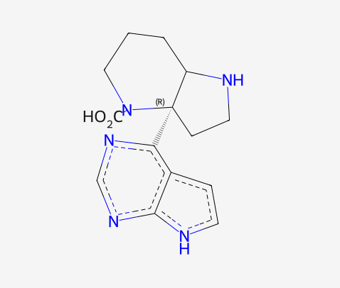 O=C(O)N1CCCC2NCC[C@]21c1ncnc2[nH]ccc12